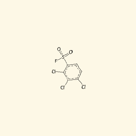 O=S(=O)(F)c1ccc(Cl)c(Cl)c1Cl